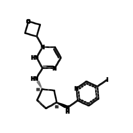 Ic1ccc(N[C@H]2CC[C@H](NC3=NC=CN(C4COC4)N3)C2)nc1